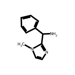 Cn1ccnc1C(N)c1ccccc1